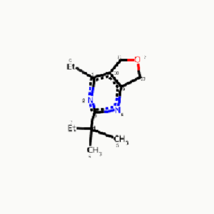 CCc1nc(C(C)(C)CC)nc2c1COC2